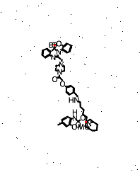 CCOc1ccccc1-n1c(CN2CCN(C(=O)COc3ccc(CNCCCCCCN4C5CCCC4CC(OC(=O)Nc4ccc(C)cc4OC)C5)cc3)CC2)nc2ccccc2c1=O